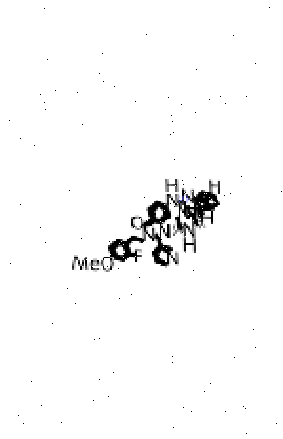 COc1ccc(CCn2c(-c3cccnc3)nc3cc(N/C(=N/C4C[C@@H]5C[C@H]([C@@H]4C)C5(C)C)N4C[C@@H](C)N[C@@H](C)C4)ccc3c2=O)c(F)c1